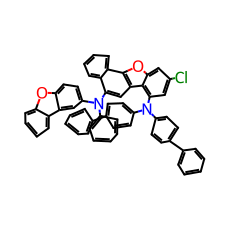 Clc1cc(N(c2ccc(-c3ccccc3)cc2)c2ccc(-c3ccccc3)cc2)c2c(c1)oc1c3ccccc3c(N(c3ccccc3)c3ccc4oc5ccccc5c4c3)cc12